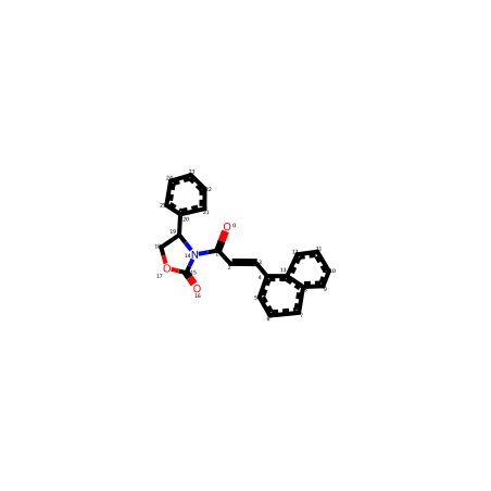 O=C(C=Cc1cccc2ccccc12)N1C(=O)OCC1c1ccccc1